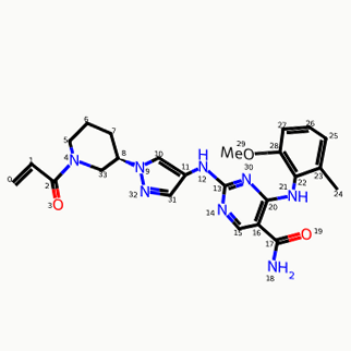 C=CC(=O)N1CCC[C@@H](n2cc(Nc3ncc(C(N)=O)c(Nc4c(C)cccc4OC)n3)cn2)C1